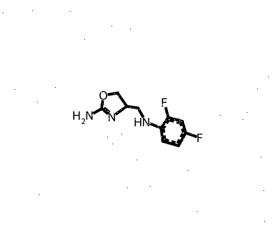 NC1=NC(CNc2ccc(F)cc2F)CO1